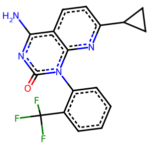 Nc1nc(=O)n(-c2ccccc2C(F)(F)F)c2nc(C3CC3)ccc12